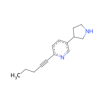 CCCC#Cc1ccc(C2CCNC2)cn1